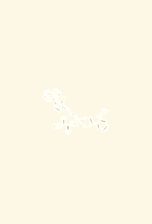 CC(C)Oc1ccccc1C1=CCN(CCCCn2ccn(C34CC5CC(CC(C5)C3)C4)c2=O)CC1.O=C(O)C(=O)O